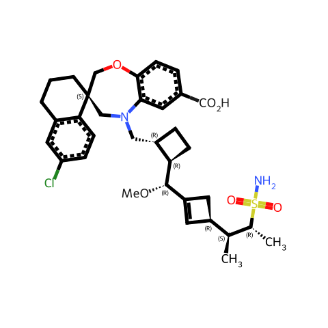 CO[C@@H](C1=C[C@H]([C@H](C)[C@@H](C)S(N)(=O)=O)C1)[C@@H]1CC[C@H]1CN1C[C@@]2(CCCc3cc(Cl)ccc32)COc2ccc(C(=O)O)cc21